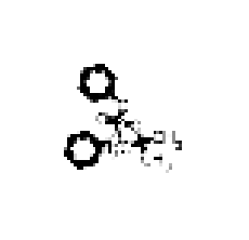 CC(C)(C)OP(=O)(Oc1ccccc1)Oc1ccccc1